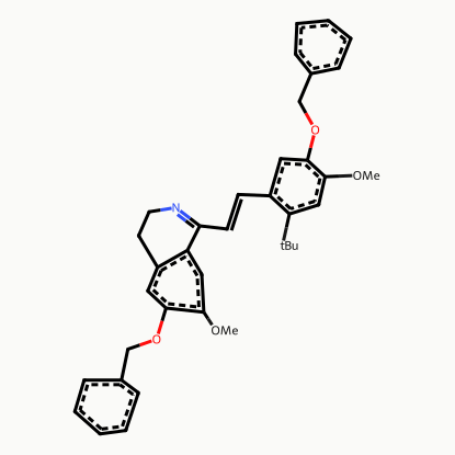 COc1cc(C(C)(C)C)c(C=CC2=NCCc3cc(OCc4ccccc4)c(OC)cc32)cc1OCc1ccccc1